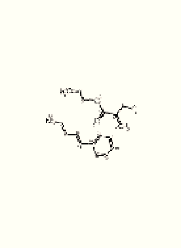 C=CCOC(=O)C(=C)CO.N#CC=CC=Cc1ccccc1